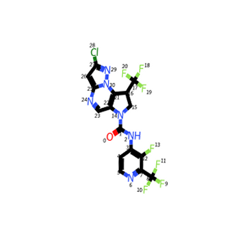 O=C(Nc1ccnc(C(F)(F)F)c1F)N1CC(C(F)(F)F)c2c1cnc1cc(Cl)nn21